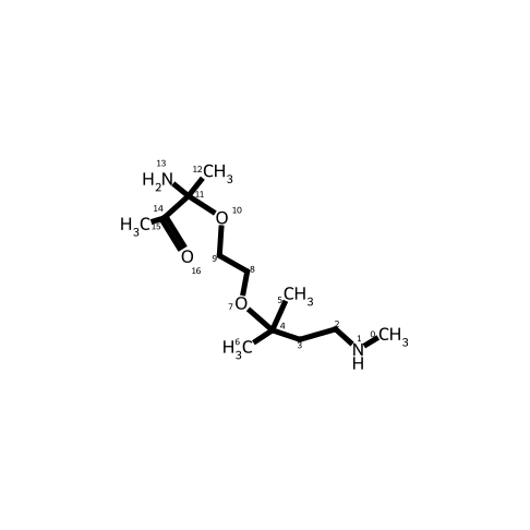 CNCCC(C)(C)OCCOC(C)(N)C(C)=O